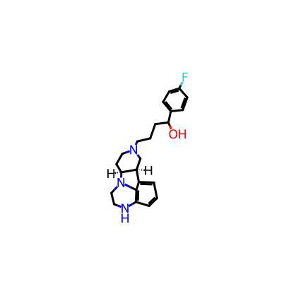 OC(CCCN1CC[C@H]2[C@@H](C1)c1cccc3c1N2CCN3)c1ccc(F)cc1